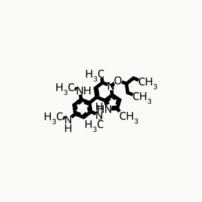 CCC(CC)ON1c2cc(C)[nH]c2C(c2c(NC)cc(NC)cc2NC)=CC1C